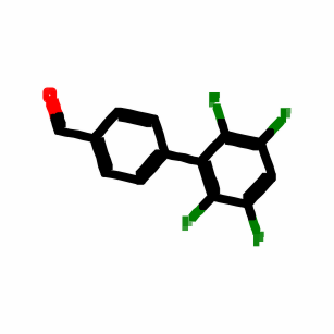 O=Cc1ccc(-c2c(F)c(F)cc(F)c2F)cc1